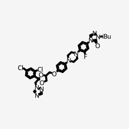 CCC(C)n1ncn(-c2ccc(N3CCN(c4ccc(OCC5COC(Cn6cncn6)(c6ccc(Cl)cc6Cl)O5)cc4)CC3)c(F)c2)c1=O